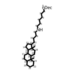 CCCCCCCCCCCCCCCCNCCCCC1CCC2C3CCC4CCCCC4(C)C3CCC12C